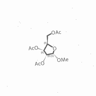 CO[C@H]1O[C@H](COC(C)=O)[C@@H](OC(C)=O)[C@H]1OC(C)=O